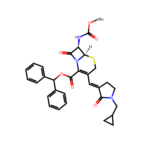 CC(C)(C)OC(=O)N[C@@H]1C(=O)N2C(C(=O)OC(c3ccccc3)c3ccccc3)=C(/C=C3\CCN(CC4CC4)C3=O)CS[C@H]12